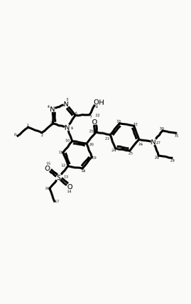 CCCc1nnc(CO)n1-c1cc(S(=O)(=O)CC)ccc1C(=O)c1ccc(N(CC)CC)cc1